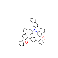 c1ccc2cc(N(c3ccc4ccccc4c3)c3cc4c(oc5cccc(-c6ccc(-c7cccc8c7oc7ccccc78)cc6)c54)c4ccccc34)ccc2c1